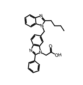 CCCCc1nc2ccccc2n1Cc1ccc2nc(-c3ccccc3)n(CC(=O)O)c2c1